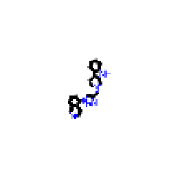 c1cc(-n2cc(CN3CCc4c([nH]c5ccccc45)C3)nn2)c2ccncc2c1